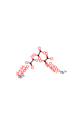 O.O.O.O.O.O.O.O.O.O.O=C([O-])C(=O)[O-].O=C([O-])C(=O)[O-].O=C([O-])C(=O)[O-].[Tb+3].[Tb+3]